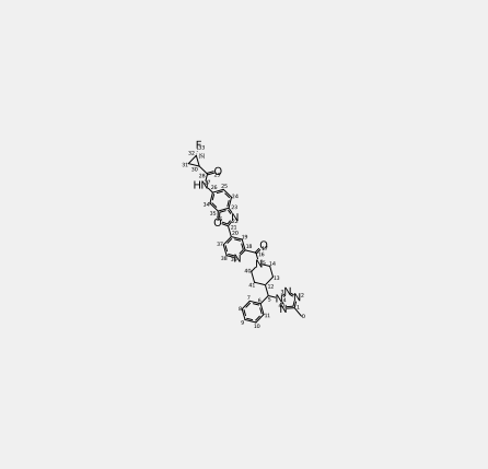 Cc1nnn(C(c2ccccc2)C2CCN(C(=O)c3cc(-c4nc5ccc(NC(=O)C6C[C@@H]6F)cc5o4)ccn3)CC2)n1